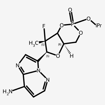 CC(C)OP1(=O)OC[C@H]2O[C@@H](c3cnc4c(N)ccnn34)[C@](C)(F)C2O1